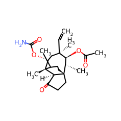 C=C[C@]1(C)C[C@@H](OC(N)=O)[C@]2(C)C(C)CC[C@]3(CCC(=O)[C@H]32)[C@@H](C)[C@@H]1OC(C)=O